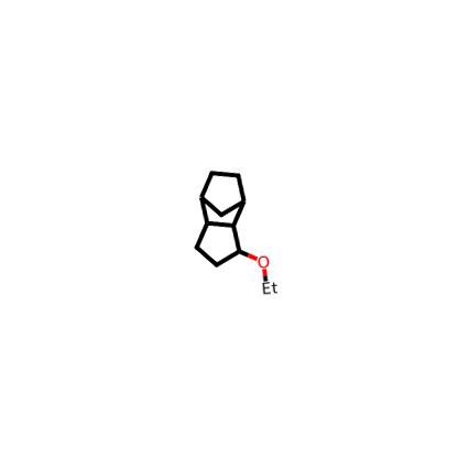 CCOC1CCC2C3CCC(C3)C12